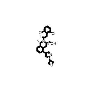 C[C@H]1c2cccc(-c3cnn(C4COC4)c3)c2C[C@H](CO)N1C(=O)Cc1c(Cl)cccc1Cl